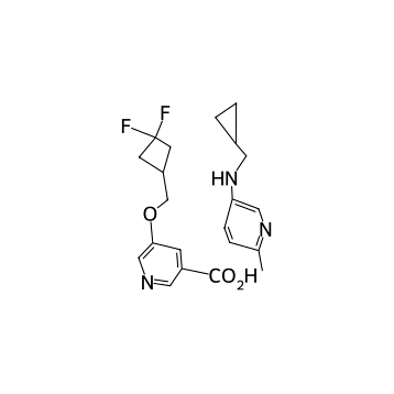 Cc1ccc(NCC2CC2)cn1.O=C(O)c1cncc(OCC2CC(F)(F)C2)c1